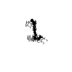 Cc1ncsc1-c1ccc(C(C)NC(=O)[C@@H]2C[C@@H](O)CN2C(=O)C(c2cc(N3CCN(c4cnc(N5CCC(c6sc7nnc(-c8ccccc8O)cc7c6C)CC5)nc4)CC3)no2)C(C)C)cc1